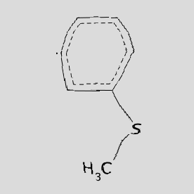 CSc1c[c]ccc1